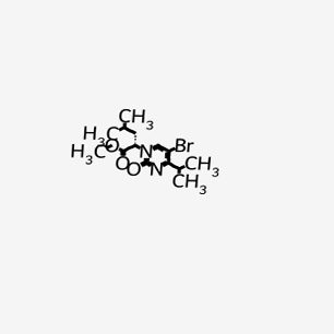 COC(=O)[C@H](CC(C)C)n1cc(Br)c(C(C)C)nc1=O